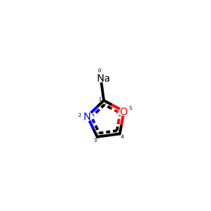 [Na][c]1ncco1